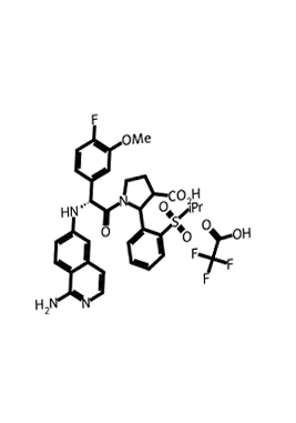 COc1cc([C@@H](Nc2ccc3c(N)nccc3c2)C(=O)N2CCC(C(=O)O)C2c2ccccc2S(=O)(=O)C(C)C)ccc1F.O=C(O)C(F)(F)F